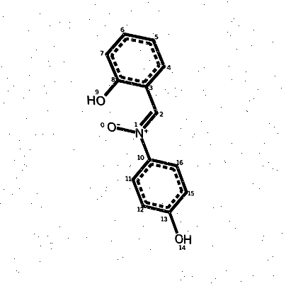 [O-][N+](=Cc1ccccc1O)c1ccc(O)cc1